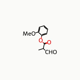 COc1ccccc1OC(=O)C(C)C=O